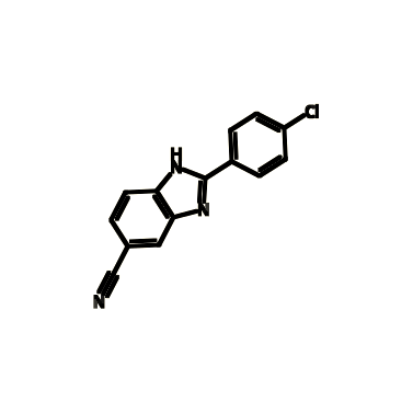 N#Cc1ccc2[nH]c(-c3ccc(Cl)cc3)nc2c1